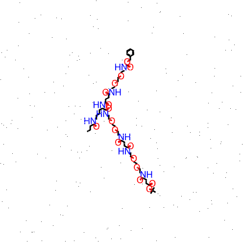 CCCC(=O)NCCCCC(NC(=O)CCC(=O)NCCOCCOCCNC(=O)OCc1ccccc1)C(=O)NCCOCCOCCNC(=O)CCC(=O)NCCOCCOCCNC(=O)CCC(=O)OC(C)(C)C